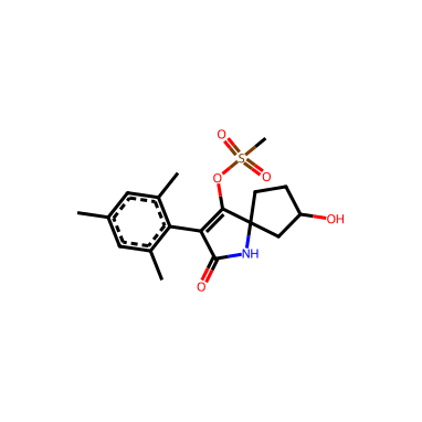 Cc1cc(C)c(C2=C(OS(C)(=O)=O)C3(CCC(O)C3)NC2=O)c(C)c1